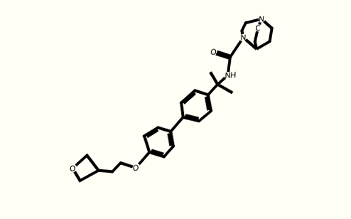 CC(C)(NC(=O)N1CCN2CCC1CC2)c1ccc(-c2ccc(OCCC3COC3)cc2)cc1